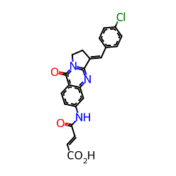 O=C(O)/C=C/C(=O)Nc1ccc2c(=O)n3c(nc2c1)/C(=C/c1ccc(Cl)cc1)CC3